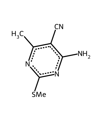 CSc1nc(C)c(C#N)c(N)n1